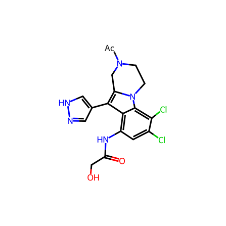 CC(=O)N1CCn2c(c(-c3cn[nH]c3)c3c(NC(=O)CO)cc(Cl)c(Cl)c32)C1